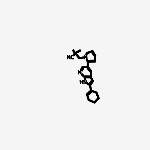 CC(C)(C#N)CN1CC=CC=C1c1cnc2[nH]c(C3=CCCCC3)cc2c1